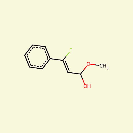 COC(O)C=C(F)c1ccccc1